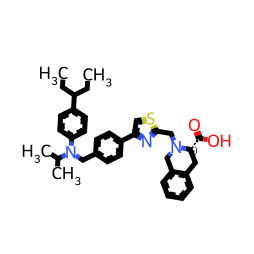 CCC(CC)c1ccc(N(Cc2ccc(-c3csc(CN4Cc5ccccc5C[C@H]4C(=O)O)n3)cc2)C(C)C)cc1